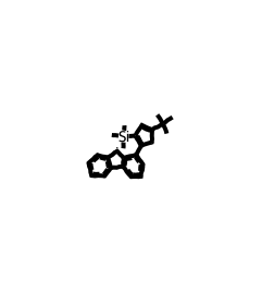 CC(C)(C)C1=CC([Si](C)(C)C)=C(c2cccc3c2[CH]c2ccccc2-3)C1